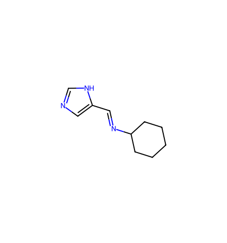 C(=N\C1CCCCC1)/c1cnc[nH]1